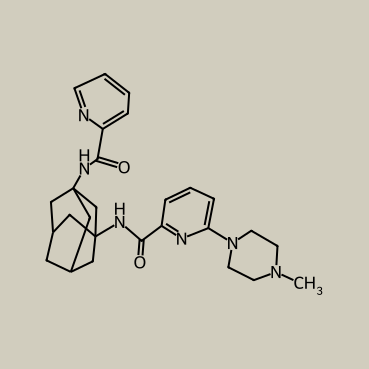 CN1CCN(c2cccc(C(=O)NC34CC5CC(CC(NC(=O)c6ccccn6)(C5)C3)C4)n2)CC1